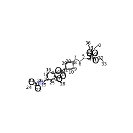 CCO[Si](CCCCc1ccc(C(=O)Oc2ccc(/C=C/C(=O)OC)cc2OC)cc1)(OCC)OCC